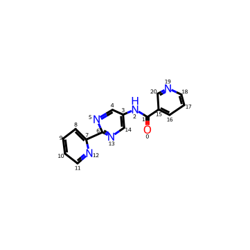 O=C(Nc1cnc(-c2ccccn2)nc1)c1cccnc1